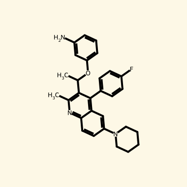 Cc1nc2ccc(N3CCCCC3)cc2c(-c2ccc(F)cc2)c1C(C)Oc1cccc(N)c1